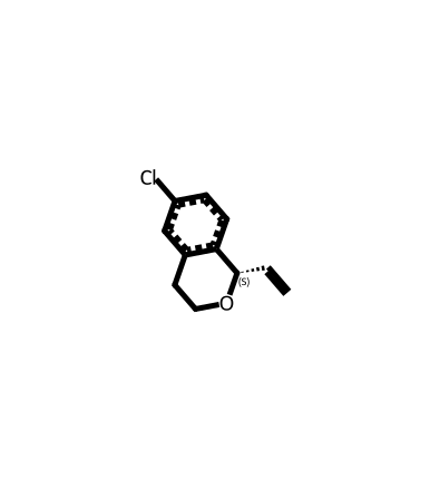 C=C[C@@H]1OCCc2cc(Cl)ccc21